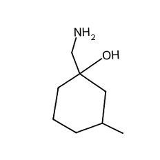 CC1CCCC(O)(CN)C1